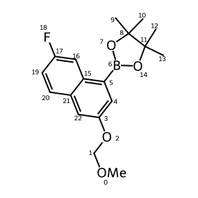 COCOc1cc(B2OC(C)(C)C(C)(C)O2)c2cc(F)ccc2c1